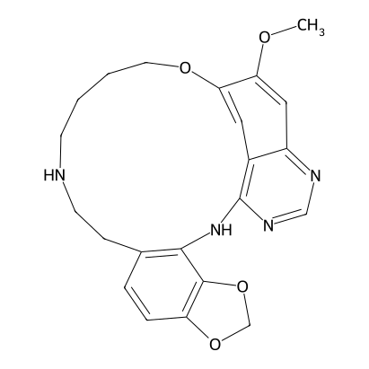 COc1cc2ncnc3c2cc1OCCCCNCCc1ccc2c(c1N3)OCO2